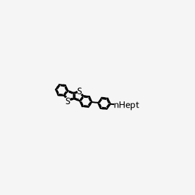 CCCCCCCc1ccc(-c2ccc3c(c2)sc2c4ccccc4sc32)cc1